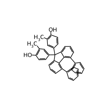 Cc1cc(C2(c3ccc(O)c(C)c3)c3cccc(-c4ccccc4)c3-c3c(-c4ccccc4)cccc32)ccc1O